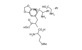 CC(C)C(N)C(=O)O.CC(C)[C@H](N)C(=O)O.CCCCCCCC[S+]([O-])C(C)Cc1ccc2c(c1)OCO2.CSCCC(N)C(=O)O